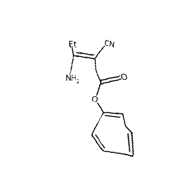 CCC(N)=C(C#N)C(=O)Oc1ccccc1